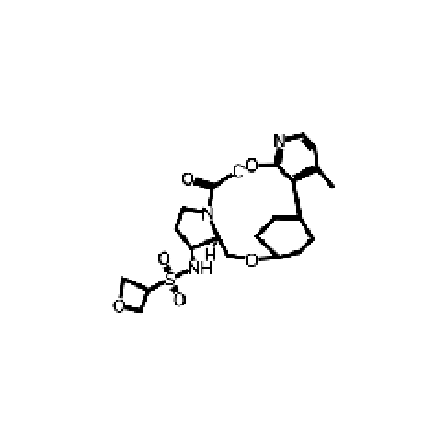 Cc1ccnc2c1C1CCC(CC1)OC[C@H]1[C@@H](NS(=O)(=O)C3COC3)CCN1C(=O)CO2